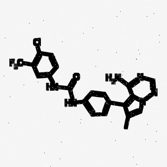 Cc1cn2ncnc(N)c2c1-c1ccc(NC(=O)Nc2ccc(Cl)c(C(F)(F)F)c2)cc1